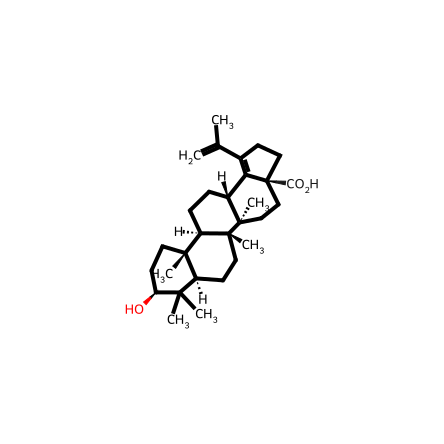 C=C(C)C1=C2[C@H]3CC[C@@H]4[C@@]5(C)CC[C@H](O)C(C)(C)[C@@H]5CC[C@@]4(C)[C@]3(C)CC[C@@]2(C(=O)O)CC1